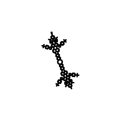 C#Cc1cc(C(C)C)c(N2C(=O)c3cc(Oc4ccc(C(C)(C)C)cc4)c4c5c(c(Oc6ccc(C(C)(C)C)cc6)cc(c35)C2=O)C2=CC=C3c5cc6cc7c(cc6cc5C5=CC=C4C2C53)CCc2cc3cc4c(cc3cc2CC7)-c2ccc3c5c(Oc6ccc(C(C)(C)C)cc6)cc6c7c(cc(Oc8ccc(C(C)(C)C)cc8)c(c8ccc-4c2c83)c75)C(=O)N(c2c(C(C)C)cc(C)cc2C(C)C)C6=O)c(C(C)C)c1